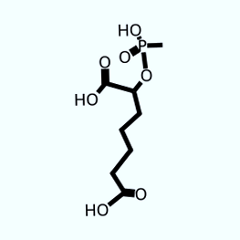 CP(=O)(O)OC(CCCCC(=O)O)C(=O)O